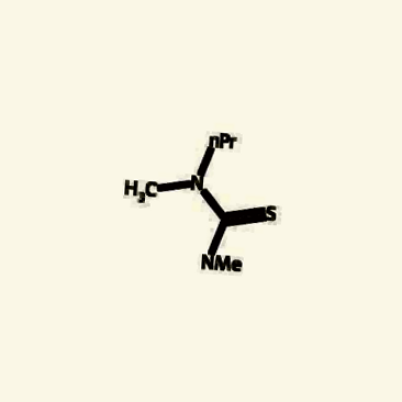 CCCN(C)C(=S)NC